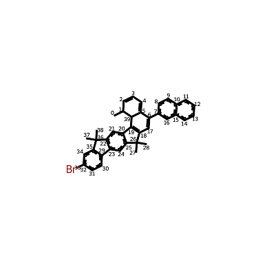 CC1C=CC=C2C(c3ccc4ccccc4c3)=CC3=C(c4cc5c(cc4C3(C)C)-c3ccc(Br)cc3C5(C)C)C21